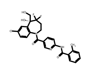 Cc1ccccc1C(=O)Nc1ccc(C(=O)N2CCC(F)(F)[C@](O)(CO)c3cc(Cl)ccc32)cn1